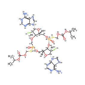 CC(C)OC(=O)OCSP1(=O)CO[C@H]2[C@@H](F)[C@H](n3cnc4c(N)ncnc43)O[C@@H]2COP(=O)(SCOC(=O)OC(C)C)O[C@H]2[C@@H](F)[C@H](n3cnc4c(N)ncnc43)O[C@@H]2CO1